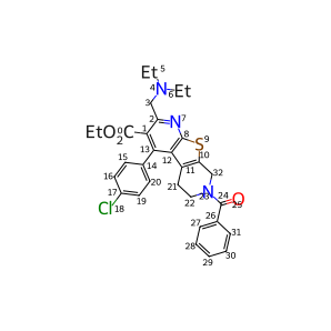 CCOC(=O)c1c(CN(CC)CC)nc2sc3c(c2c1-c1ccc(Cl)cc1)CCN(C(=O)c1ccccc1)C3